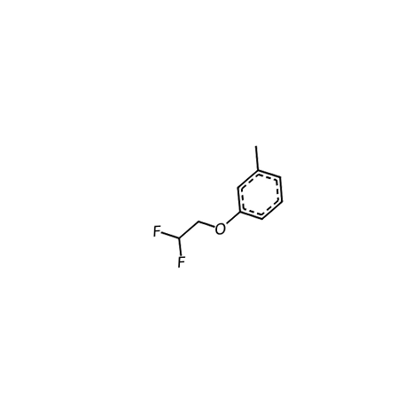 Cc1cccc(OCC(F)F)c1